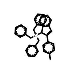 Cc1ccc(C2=Cc3ccccc3[CH]2[Zr]([CH2]c2ccccc2)([CH2]c2ccccc2)[CH2]c2ccccc2)cc1